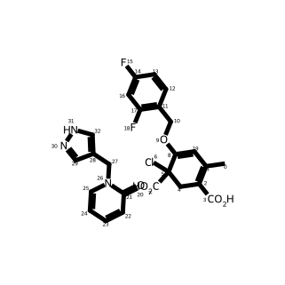 CC1=C(C(=O)O)CC(Cl)(C(=O)O)C(OCc2ccc(F)cc2F)=C1.O=c1ccccn1Cc1cn[nH]c1